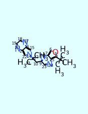 CC(C)(C)c1occ2nc(CC(C)(C)n3cc4nccnc4c3)cnc12